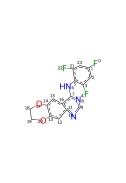 Fc1cc(F)c(Nc2ncnc3cc4c(cc23)OCCO4)c(F)c1